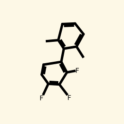 Cc1cccc(C)c1-c1ccc(F)c(F)c1F